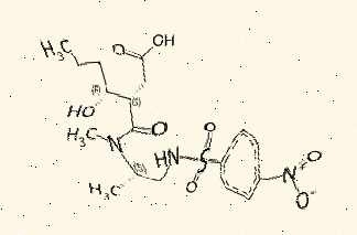 CCC[C@@H](O)[C@H](CC(=O)O)C(=O)N(C)[C@@H](C)CNS(=O)(=O)c1ccc([N+](=O)[O-])cc1